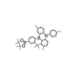 Cc1ccc(N2c3ccc(C)cc3B3c4ccc(B5OC(C)(C)C(C)(C)O5)cc4C(C)(C)c4c(C)ccc2c43)cc1